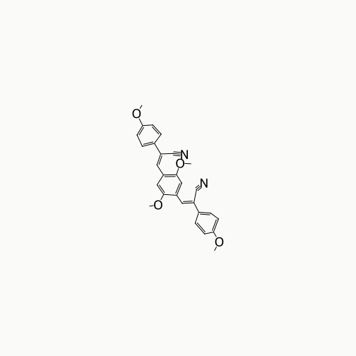 COc1ccc(C(C#N)=Cc2cc(OC)c(C=C(C#N)c3ccc(OC)cc3)cc2OC)cc1